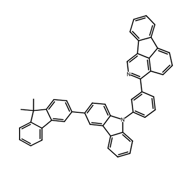 CC1(C)c2ccccc2-c2cc(-c3ccc4c(c3)c3ccccc3n4-c3cccc(-c4ncc5c6c(cccc46)-c4ccccc4-5)c3)ccc21